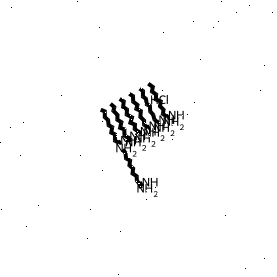 CCCCCCCCCC(=N)N.CCCCCCCCCC(=N)N.CCCCCCCCCC(=N)N.CCCCCCCCCC(=N)N.CCCCCCCCCC(=N)N.CCCCCCCCCC(=N)N.CCCCCCCCCC(=N)N.Cl